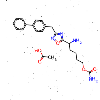 CC(=O)O.NC(=O)OCCCCC(N)c1nc(Cc2ccc(-c3ccccc3)cc2)no1